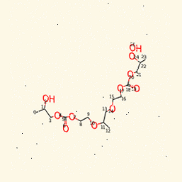 CC(O)COC(=O)OCCOC(C)COCCOC(=O)OCC(C)OO